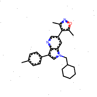 Cc1ccc(-c2cn(CC3CCCCC3)c3cc(-c4c(C)noc4C)cnc23)cc1